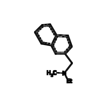 CCN(C)Cc1ccc2ccccc2c1